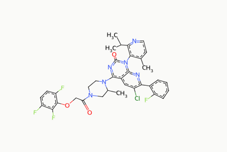 Cc1ccnc(C(C)C)c1-n1c(=O)nc(N2CCN(C(=O)COc3c(F)ccc(F)c3F)CC2C)c2cc(Cl)c(-c3ccccc3F)nc21